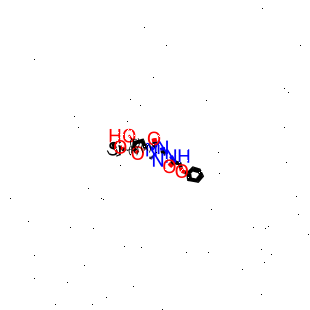 C[Si](C)(C)OC[C@H]1O[C@@H](n2cnc(NC(=O)COc3ccccc3)nc2=O)C[C@@H]1O